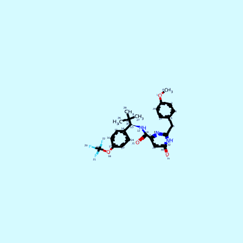 COc1ccc(Cc2nc(C(=O)N[C@@H](c3ccc(OC(F)(F)F)cc3)C(C)(C)C)cc(=O)[nH]2)cc1